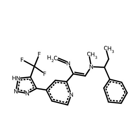 C=N/C(=C\N(C)C(CC)c1ccccc1)c1cc(-c2nn[nH]c2C(F)(F)F)ccn1